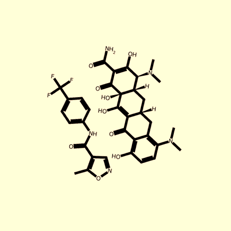 CN(C)c1ccc(O)c2c1C[C@H]1C[C@H]3[C@H](N(C)C)C(O)=C(C(N)=O)C(=O)[C@@]3(O)C(O)=C1C2=O.Cc1oncc1C(=O)Nc1ccc(C(F)(F)F)cc1